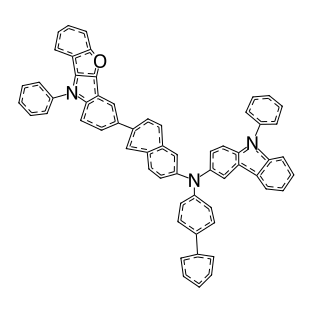 c1ccc(-c2ccc(N(c3ccc4cc(-c5ccc6c(c5)c5oc7ccccc7c5n6-c5ccccc5)ccc4c3)c3ccc4c(c3)c3ccccc3n4-c3ccccc3)cc2)cc1